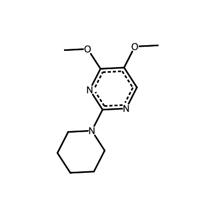 COc1cnc(N2CCCCC2)nc1OC